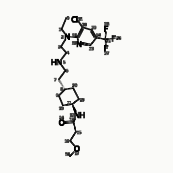 CCN(CCNCC[C@H]1CC[C@H](NC(=O)CCOC)CC1)c1ncc(C(F)(F)F)cc1Cl